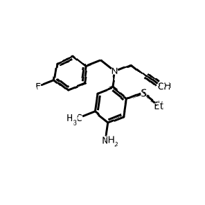 C#CCN(Cc1ccc(F)cc1)c1cc(C)c(N)cc1SCC